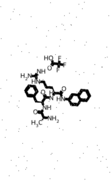 C[C@H](N)C(=O)N[C@@H](Cc1ccccc1)C(=O)N[C@@H](CCCNC(=N)N)C(=O)Nc1ccc2ccccc2c1.O=C(O)C(F)(F)F